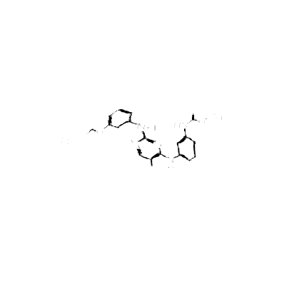 CCOC(=O)COc1cccc(Nc2ncc(F)c(Nc3cccc(NC(=O)OC(C)(C)C)c3)n2)c1